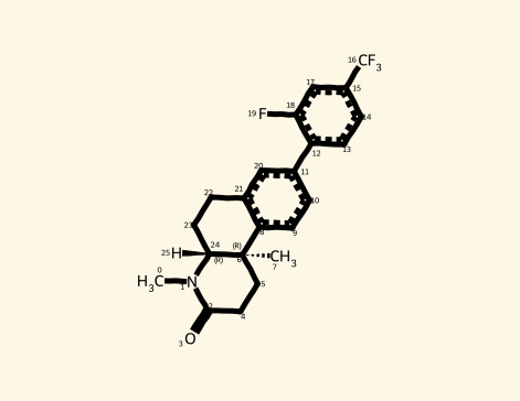 CN1C(=O)CC[C@]2(C)c3ccc(-c4ccc(C(F)(F)F)cc4F)cc3CC[C@@H]12